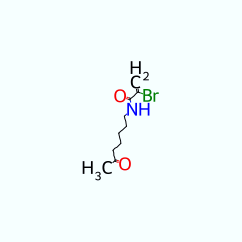 C=C(Br)C(=O)NCCCCCC(C)=O